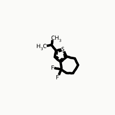 CC(C)c1cc2c(s1)CCCCC2(F)F